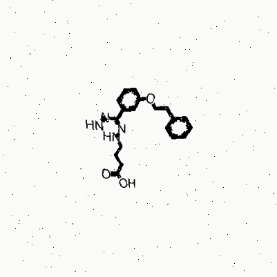 N=N/C(=N\NCCCC(=O)O)c1cccc(OCCc2ccccc2)c1